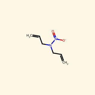 C=CCN(CC=C)[N+](=O)[O-]